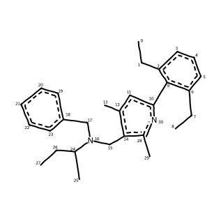 CCc1cccc(CC)c1-c1cc(C)c(CN(Cc2ccccc2)C(C)CC)c(C)n1